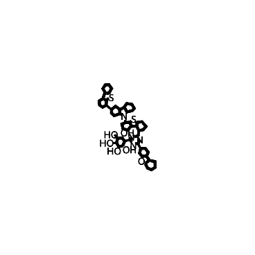 Oc1c(O)c(O)c(-c2nc(-c3ccc4c(c3)oc3ccccc34)nc(-c3cccc4sc5c(-n6c7ccccc7c7cc(-c8cccc9c8sc8ccccc89)ccc76)cccc5c34)n2)c(O)c1O